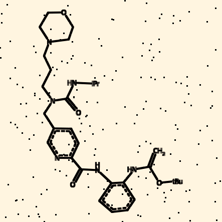 C=C(Nc1ccccc1NC(=O)c1ccc(CN(CCCN2CCOCC2)C(=O)NC(C)C)cn1)OC(C)(C)C